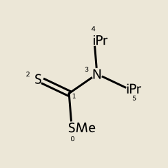 CSC(=S)N(C(C)C)C(C)C